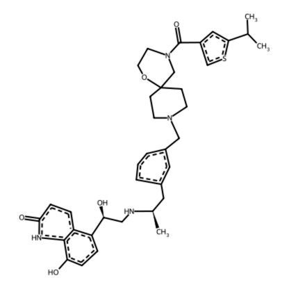 CC(C)c1cc(C(=O)N2CCOC3(CCN(Cc4cccc(C[C@@H](C)NC[C@H](O)c5ccc(O)c6[nH]c(=O)ccc56)c4)CC3)C2)cs1